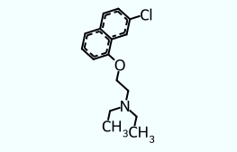 CCN(CC)CCOc1cccc2ccc(Cl)cc12